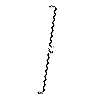 CCCCCCCCCCCCCCCCCCCCCCCCNONCCCCCCCCCCCCCCCCCCCCCCCC